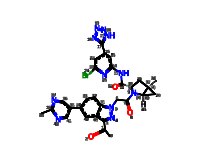 CC(=O)c1nn(CC(=O)N2[C@H](C(=O)Nc3cc(-c4nnn[nH]4)cc(Br)n3)C[C@@]3(C)C[C@@H]23)c2ccc(-c3cnc(C)nc3)cc12